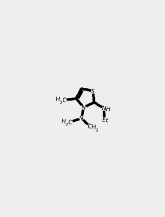 CCNC1S[C]=C(C)N1N(C)C